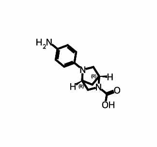 Nc1ccc(N2C[C@H]3C[C@@H]2CN3C(=O)O)cc1